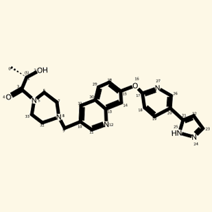 C[C@H](O)C(=O)N1CCN(Cc2cnc3cc(Oc4ccc(-c5ccn[nH]5)cn4)ccc3c2)CC1